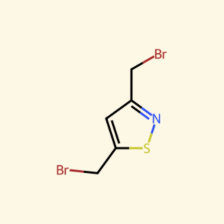 BrCc1cc(CBr)sn1